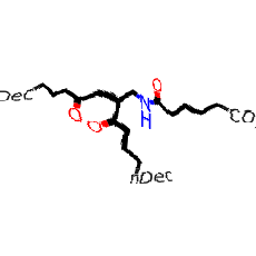 CCCCCCCCCCCCCC(=O)CC(CNC(=O)CCCCC(=O)O)C(=O)CCCCCCCCCCCCC